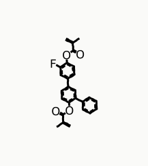 C=C(C)C(=O)Oc1ccc(-c2ccc(OC(=O)C(=C)C)c(-c3ccccc3)c2)cc1F